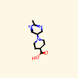 CC1=NCC(N2CCC(C(=O)O)CC2)C=N1